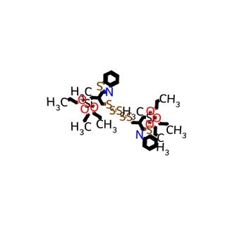 CCCO[Si](OCCC)(OCCC)C(C)C(CSSSSSCC(c1nc2ccccc2s1)C(C)[Si](OCCC)(OCCC)OCCC)c1nc2ccccc2s1